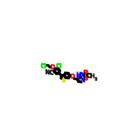 CS(=O)(=O)Nc1nccc(COc2ccc3c(-c4cc(Cl)c(OCCCl)c(C#N)c4)csc3c2)n1